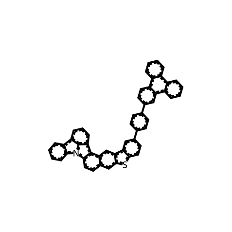 c1ccc2c(c1)c1ccccc1c1cc(-c3ccc(-c4ccc5sc6cc7ccc8c(c7cc6c5c4)c4cccc5c6ccccc6n8c54)cc3)ccc21